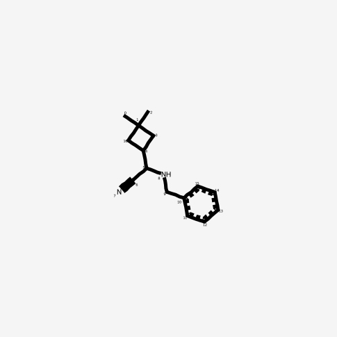 CC1(C)CC(C(C#N)NCc2ccccc2)C1